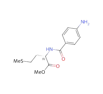 COC(=O)[C@H](CCSC)NC(=O)c1ccc(N)cc1